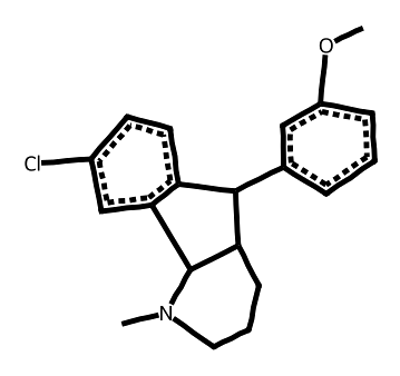 COc1cccc(C2c3ccc(Cl)cc3C3C2CCCN3C)c1